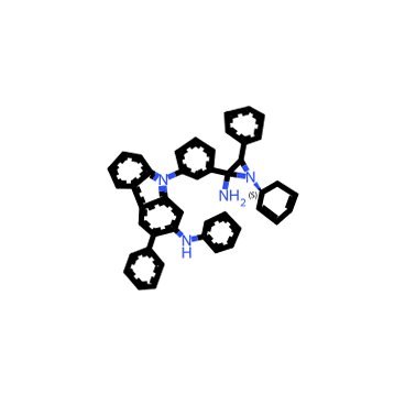 NC1(c2cccc(-n3c4ccccc4c4cc(-c5ccccc5)c(Nc5ccccc5)cc43)c2)C(c2ccccc2)N1[C@@H]1C=CC=CC1